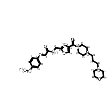 O=C(COc1ccc(OC(F)(F)F)cc1)NCc1nc(C(=O)N2CCN(CCCN3CCOCC3)CC2)co1